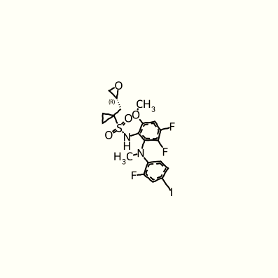 COc1cc(F)c(F)c(N(C)c2ccc(I)cc2F)c1NS(=O)(=O)C1(C[C@@H]2CO2)CC1